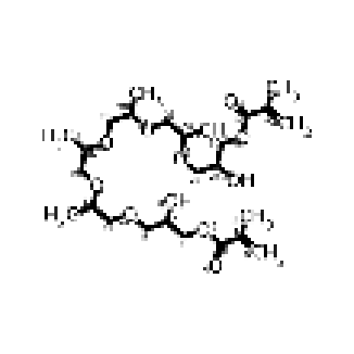 C=C(C)C(=O)OCC(O)COCC(C)OCC(C)OCC(C)OCC(C)OCC(O)COC(=O)C(=C)C